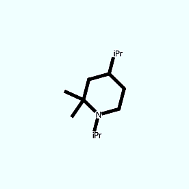 CC(C)C1CCN(C(C)C)C(C)(C)C1